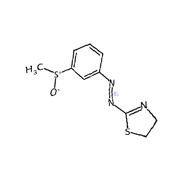 C[S+]([O-])c1cccc(/N=N/C2=NCCS2)c1